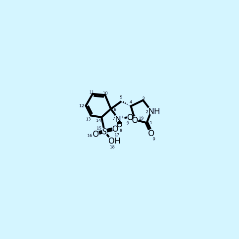 O=C1NC[C@@H](CC2([N+](=O)[O-])C=CC=CC2S(=O)(=O)O)O1